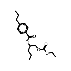 CCCc1ccc(C(=O)OC(CCC)COC(=O)OCC)cc1